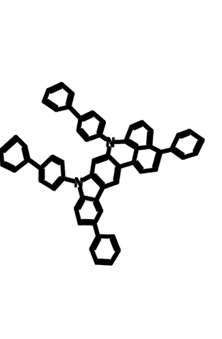 c1ccc(-c2ccc(N3c4cc5c(cc4-c4ccc(-c6ccccc6)c6cccc3c46)c3cc(-c4ccccc4)ccc3n5-c3ccc(-c4ccccc4)cc3)cc2)cc1